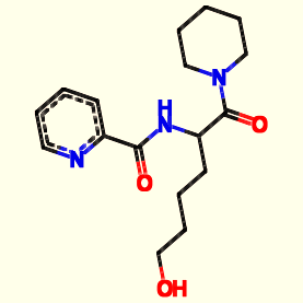 O=C(NC(CCCCO)C(=O)N1CCCCC1)c1ccccn1